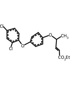 CCOC(=O)C=CC(C)Oc1ccc(Oc2ccc(Cl)cc2Cl)cc1